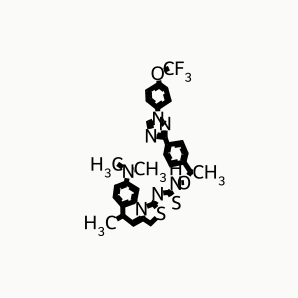 CC1C=C2CS/C(=N\C(=S)NOC(C)c3ccc(-c4ncn(-c5ccc(OC(F)(F)F)cc5)n4)cc3)N2c2cc(N(C)C)ccc21